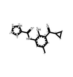 Cc1cc(NC(=O)c2nnn[nH]2)c(O)c(C(=O)C2CC2)c1